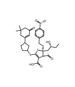 CC[C@H](O)[C@@H]1C(=O)N2C(C(=O)O)=C(SC3CCN(C4=CC(=O)CC(C)(C)C4)C3)S[C@]12SCc1ccc([N+](=O)[O-])cc1